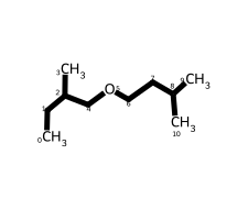 CCC(C)COCCC(C)C